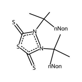 CCCCCCCCCC(C)(C)n1c(=S)sc(=S)n1C(C)(C)CCCCCCCCC